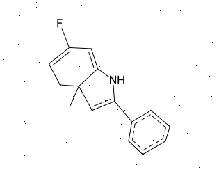 CC12C=C(c3ccccc3)NC1=CC(F)=CC2